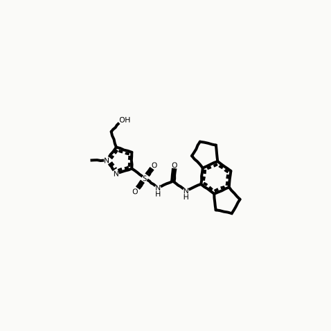 Cn1nc(S(=O)(=O)NC(=O)Nc2c3c(cc4c2CCC4)CCC3)cc1CO